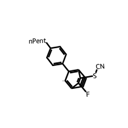 CCCCCc1ccc(-c2[c]c3c#cc2c(SC#N)c3F)cc1